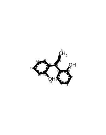 C=C=C(c1ccccc1O)c1ccccc1O